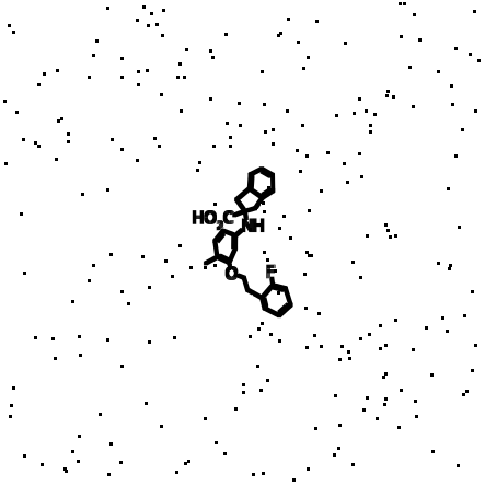 Cc1ccc(NC2(C(=O)O)Cc3ccccc3C2)cc1OCCc1ccccc1F